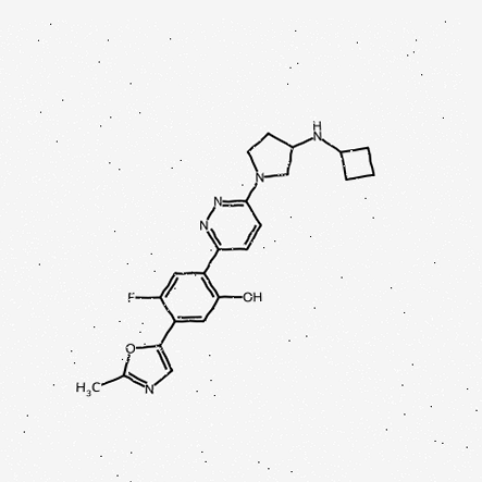 Cc1ncc(-c2cc(O)c(-c3ccc(N4CCC(NC5CCC5)C4)nn3)cc2F)o1